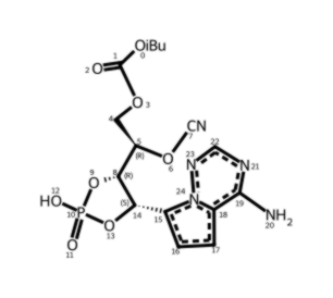 CC(C)COC(=O)OC[C@@H](OC#N)[C@H]1OP(=O)(O)O[C@H]1c1ccc2c(N)ncnn12